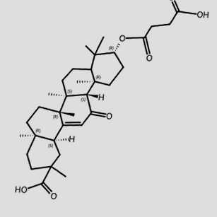 CC1(C(=O)O)CC[C@@]2(C)CC[C@@]3(C)C(=CC(=O)[C@@H]4[C@]3(C)CCC3C(C)(C)[C@H](OC(=O)CCC(=O)O)CC[C@]34C)[C@H]2C1